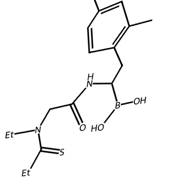 CCC(=S)N(CC)CC(=O)NC(Cc1ccc(C)cc1C)B(O)O